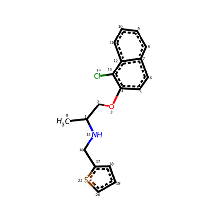 CC(COc1ccc2ccccc2c1Cl)NCc1cccs1